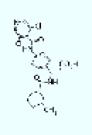 CC1CCCC(C(=O)NC(CC(=O)O)c2ccc(NC(=O)c3c(Cl)cncc3Cl)cc2)C1